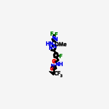 COc1nn(C(F)F)cc1Nc1ncc(-c2ccc(CC(=O)Nc3cc(C4(C(F)(F)F)CC4)on3)c(F)c2)cn1